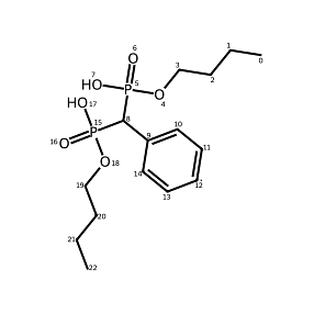 CCCCOP(=O)(O)C(c1cc[c]cc1)P(=O)(O)OCCCC